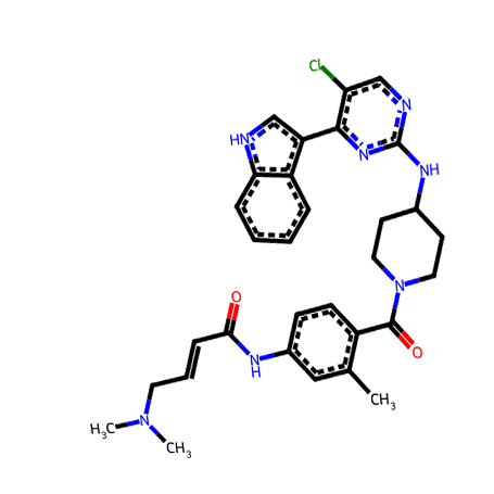 Cc1cc(NC(=O)/C=C/CN(C)C)ccc1C(=O)N1CCC(Nc2ncc(Cl)c(-c3c[nH]c4ccccc34)n2)CC1